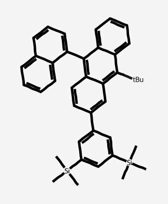 CC(C)(C)c1c2ccccc2c(-c2cccc3ccccc23)c2ccc(-c3cc([Si](C)(C)C)cc([Si](C)(C)C)c3)cc12